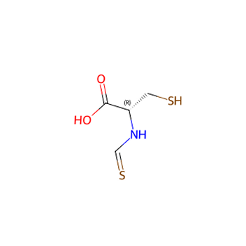 O=C(O)[C@H](CS)NC=S